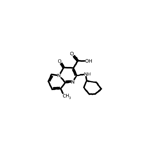 Cc1cccn2c(=O)c(C(=O)O)c(NC3CCCCC3)nc12